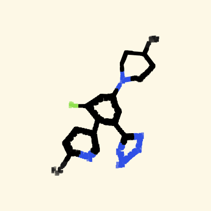 CC(C)(C)C1CCN(c2cc(F)c(-c3ccc(C(F)(F)F)nc3)c(-c3nn[nH]n3)c2)CC1